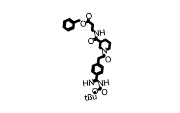 CC(C)(C)OC(=O)NC(=N)c1ccc(CC(=O)N2CCCC(C(=O)NCCC(=O)OCc3ccccc3)C2)cc1